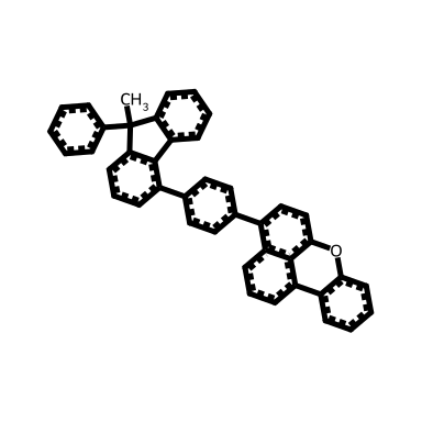 CC1(c2ccccc2)c2ccccc2-c2c(-c3ccc(-c4ccc5c6c(cccc46)-c4ccccc4O5)cc3)cccc21